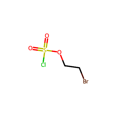 O=S(=O)(Cl)OCCBr